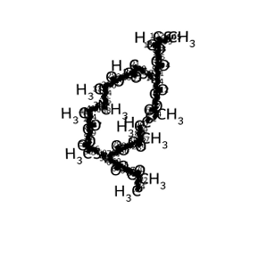 CSCC(C)C(=O)OCCOC(=O)CCN(CCSCC(C)C(=O)OCCOC(=O)CCN(C)CCCN(C)CCCN(C)CCC(=O)OCCOC(=O)C(C)CSCCN(CCC(=O)OCCOC(=O)C(C)CSC)CCC(=O)OCCOC(=O)C(C)CSC)CCC(=O)OCCOC(=O)C(C)CSC